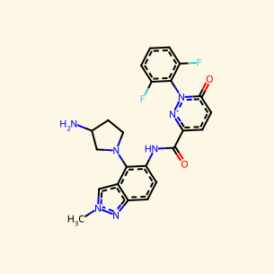 Cn1cc2c(N3CCC(N)C3)c(NC(=O)c3ccc(=O)n(-c4c(F)cccc4F)n3)ccc2n1